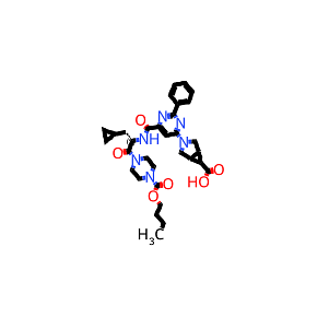 CCCCOC(=O)N1CCN(C(=O)[C@H](CC2CC2)NC(=O)c2cc(N3CC4C(C3)C4C(=O)O)nc(-c3ccccc3)n2)CC1